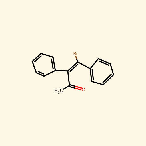 CC(=O)/C(=C(/Br)c1ccccc1)c1ccccc1